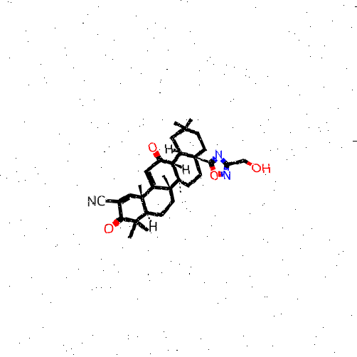 CC1(C)CC[C@]2(c3nc(CO)no3)CC[C@]3(C)[C@H](C(=O)C=C4[C@@]5(C)C=C(C#N)C(=O)C(C)(C)[C@@H]5CC[C@]43C)[C@@H]2C1